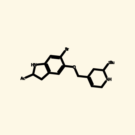 CC(=O)C1Cc2cc(OCC3=CCNC(C(C)(C)C)C3)c(Br)cc2N1